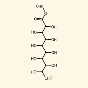 O=[C]OC(=O)C(O)C(O)C(O)C(O)C(O)C(O)C(O)C(O)[C]=O